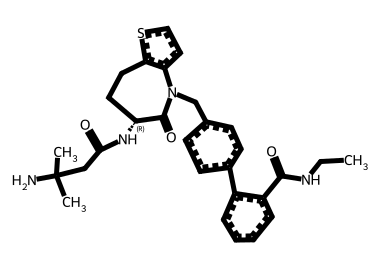 CCNC(=O)c1ccccc1-c1ccc(CN2C(=O)[C@H](NC(=O)CC(C)(C)N)CCc3sccc32)cc1